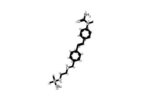 BC(=O)N(C)c1ccc(/C=C/c2ccc(COCCO[Si](C)(C)C(C)(C)C)cc2)cc1